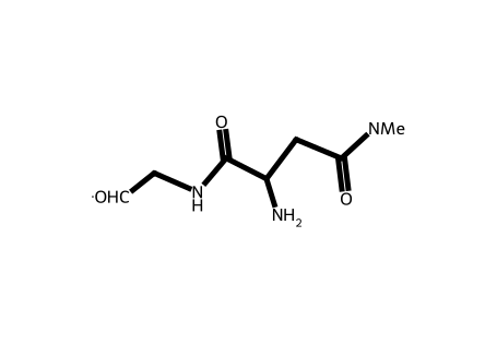 CNC(=O)CC(N)C(=O)NC[C]=O